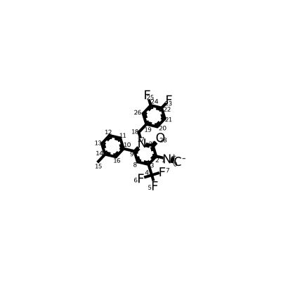 [C-]#[N+]c1c(C(F)(F)F)cc(-c2cccc(C)c2)n(Cc2ccc(F)c(F)c2)c1=O